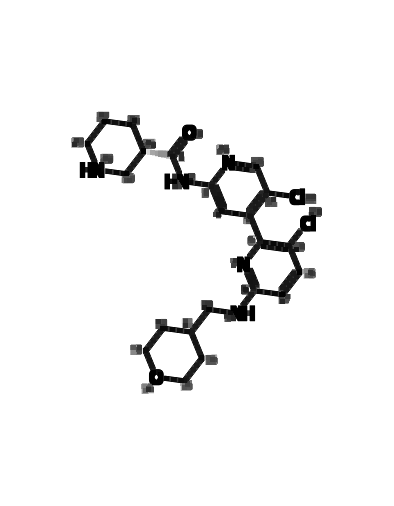 O=C(Nc1cc(-c2nc(NCC3CCOCC3)ccc2Cl)c(Cl)cn1)[C@H]1CCCNC1